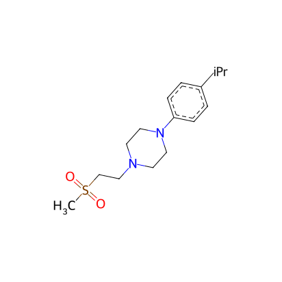 CC(C)c1ccc(N2CCN(CCS(C)(=O)=O)CC2)cc1